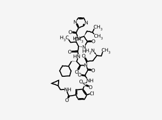 CC[C@H](N)CC(=O)N(C(=O)C(=O)NS(=O)(=O)c1cc(C(=O)NCC2CC2)ccc1Cl)C(=O)[C@H](CC1CCCCC1)NC(=O)[C@@H](NC(=O)[C@H](CC(C)C)NC(=O)c1cnccn1)[C@@H](C)CC